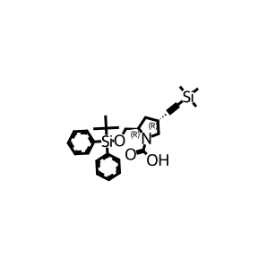 CC(C)(C)[Si](OC[C@H]1C[C@H](C#C[Si](C)(C)C)CN1C(=O)O)(c1ccccc1)c1ccccc1